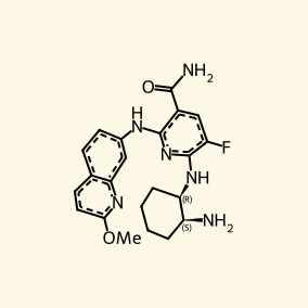 COc1ccc2ccc(Nc3nc(N[C@@H]4CCCC[C@@H]4N)c(F)cc3C(N)=O)cc2n1